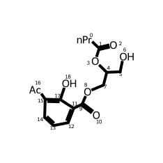 CCCC(=O)OC(CO)COC(=O)c1cccc(C(C)=O)c1O